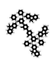 Cc1cc(-c2ccc(-c3cc(N(c4ccccc4)c4ccc5c(c4)C(C)(C)c4ccccc4-5)cc(N(c4ccccc4)c4ccc5c(c4)C(C)(C)c4ccccc4-5)c3)c(C)c2)ccc1-c1cc(N(c2ccccc2)c2ccc3c(c2)C(C)(C)c2ccccc2-3)cc(N(c2ccccc2)c2ccc3c(c2)C(C)(C)c2ccccc2-3)c1